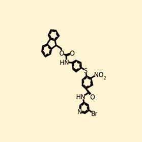 O=C(Nc1ccc(Sc2ccc(C(=O)Nc3cncc(Br)c3)cc2[N+](=O)[O-])cc1)OCC1c2ccccc2-c2ccccc21